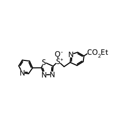 CCOC(=O)c1ccc(C[S+]([O-])c2nnc(-c3cccnc3)s2)nc1